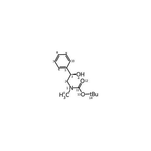 CN(C[C@H](O)c1ccccc1)C(=O)OC(C)(C)C